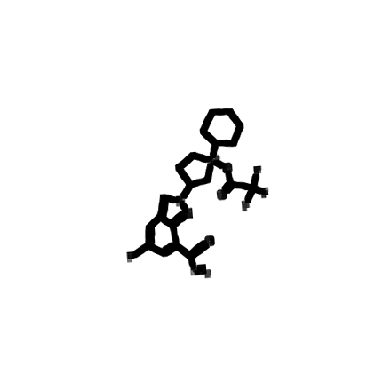 NC(=O)c1cc(F)cc2cn(C3CC[N+](OC(=O)C(F)(F)F)(C4CCCCC4)C3)nc12